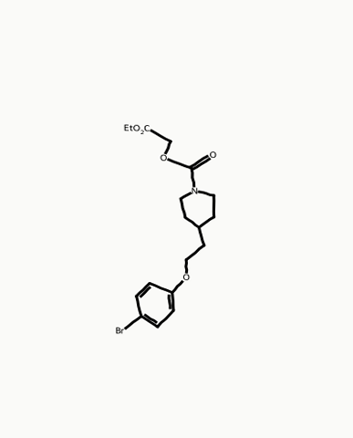 CCOC(=O)COC(=O)N1CCC(CCOc2ccc(Br)cc2)CC1